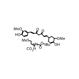 COc1cc(/C=C/C(=O)CC(=O)/C=C/C2CC=C(O)C(OC)C2)ccc1O.CSCCC(NC(=O)OC(C)(C)C)C(=O)O